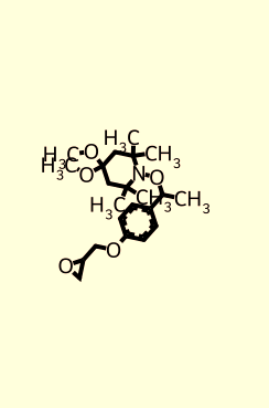 COC1(OC)CC(C)(C)N(OC(C)c2ccc(OCC3CO3)cc2)C(C)(C)C1